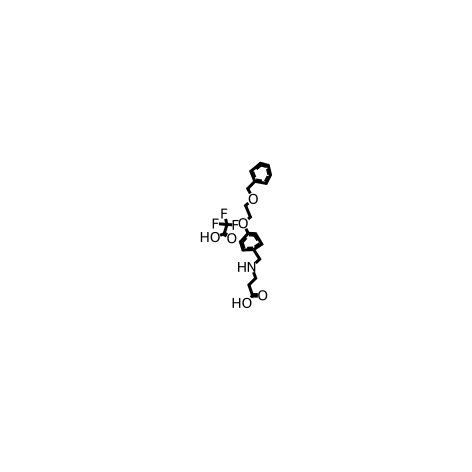 O=C(O)C(F)(F)F.O=C(O)CCNCc1ccc(OCCOCc2ccccc2)cc1